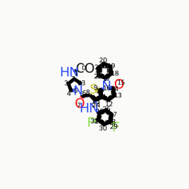 O=C(O)N[C@H]1CCN(C(=O)c2sc3c(ccc(=O)n3-c3ccccc3)c2Nc2ccc(F)cc2F)C1